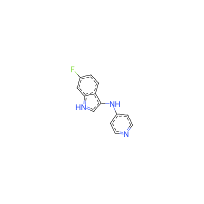 Fc1ccc2c(Nc3ccncc3)c[nH]c2c1